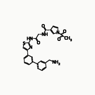 CS(=O)(=O)n1ccc(C(=O)NCC(=O)Nc2nc(-c3cccc(-c4cccc(CN)c4)c3)cs2)c1